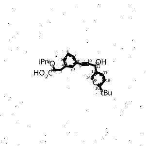 CC(C)OC(Cc1cccc(C#CC(O)c2ccc(C(C)(C)C)cc2)c1)C(=O)O